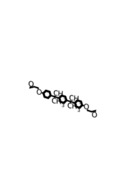 CC(C)(c1ccc(OCC2CO2)cc1)c1ccc(C(C)(C)c2ccc(OCC3CO3)cc2)cc1